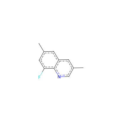 Cc1cnc2c(F)cc(C)cc2c1